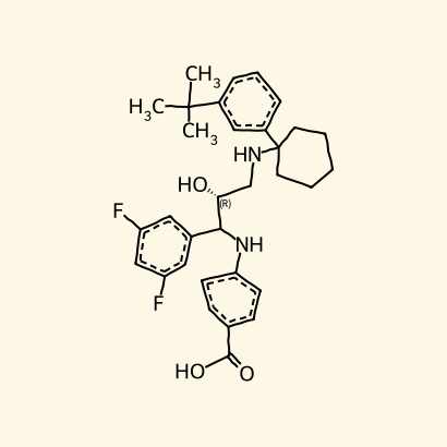 CC(C)(C)c1cccc(C2(NC[C@@H](O)C(Nc3ccc(C(=O)O)cc3)c3cc(F)cc(F)c3)CCCCC2)c1